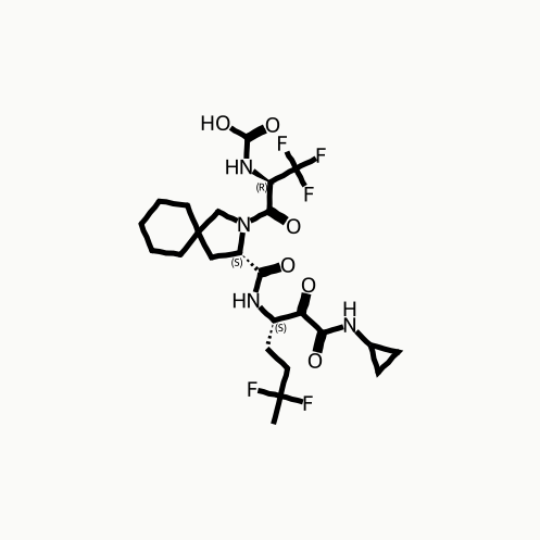 CC(F)(F)CC[C@H](NC(=O)[C@@H]1CC2(CCCCC2)CN1C(=O)[C@@H](NC(=O)O)C(F)(F)F)C(=O)C(=O)NC1CC1